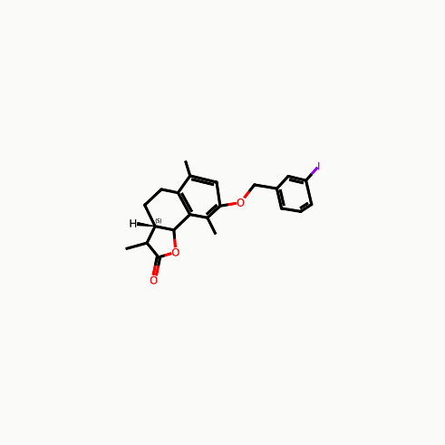 Cc1cc(OCc2cccc(I)c2)c(C)c2c1CC[C@H]1C(C)C(=O)OC21